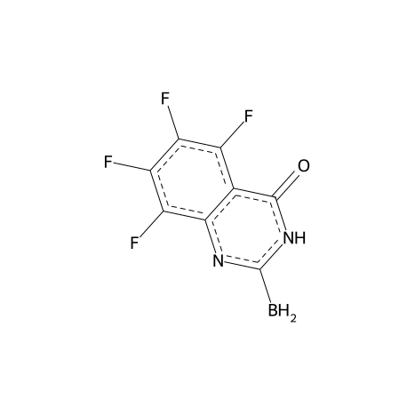 Bc1nc2c(F)c(F)c(F)c(F)c2c(=O)[nH]1